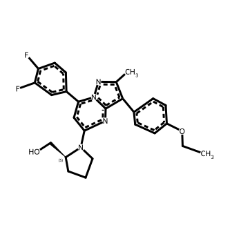 CCOc1ccc(-c2c(C)nn3c(-c4ccc(F)c(F)c4)cc(N4CCC[C@H]4CO)nc23)cc1